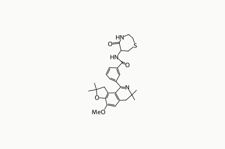 COc1cc2c(c3c1OC(C)(C)C3)C(c1cccc(C(=O)NC3CSCCNC3=O)c1)=NC(C)(C)C2